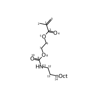 C=C(C)C(=O)OCCOC(=O)NCCCCCCCCCC